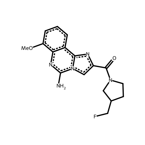 COc1cccc2c1nc(N)n1cc(C(=O)N3CCC(CF)C3)nc21